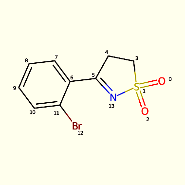 O=S1(=O)CCC(c2ccccc2Br)=N1